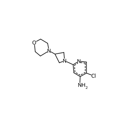 Nc1cc(N2CC(N3CCOCC3)C2)ncc1Cl